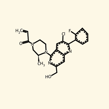 C=CC(=O)N1CCN(c2nc(CO)cc3nc(-c4ccccc4F)c(Cl)cc23)[C@@H](C)C1